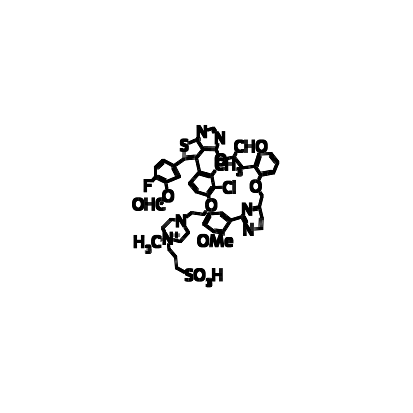 COc1ccccc1-c1nccc(COc2ccccc2CC(C=O)Oc2ncnc3sc(-c4ccc(F)c(OC=O)c4)c(-c4ccc(OCCN5CC[N+](C)(CCCS(=O)(=O)O)CC5)c(Cl)c4C)c23)n1